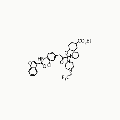 CCOC(=O)[C@H]1CC[C@H](OC(C(=O)Cc2ccc(NC(=O)c3coc4ccccc34)c(Cl)c2)(N2CCCC2)N2CCN(CC(F)(F)F)CC2)CC1